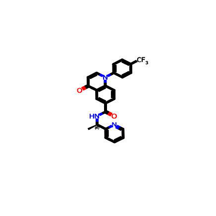 C[C@@H](NC(=O)c1ccc2c(c1)c(=O)ccn2-c1ccc(C(F)(F)F)cc1)c1ccccn1